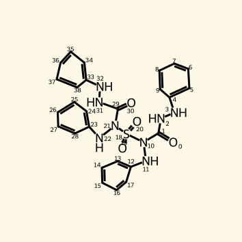 O=C(NNc1ccccc1)N(Nc1ccccc1)S(=O)(=O)N(Nc1ccccc1)C(=O)NNc1ccccc1